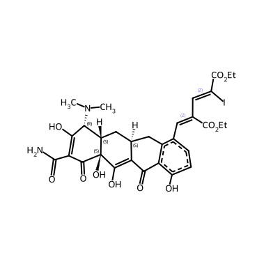 CCOC(=O)/C(I)=C/C(=C/c1ccc(O)c2c1C[C@@H]1C[C@H]3[C@@H](N(C)C)C(O)=C(C(N)=O)C(=O)[C@@]3(O)C(O)=C1C2=O)C(=O)OCC